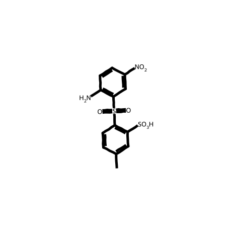 Cc1ccc(S(=O)(=O)c2cc([N+](=O)[O-])ccc2N)c(S(=O)(=O)O)c1